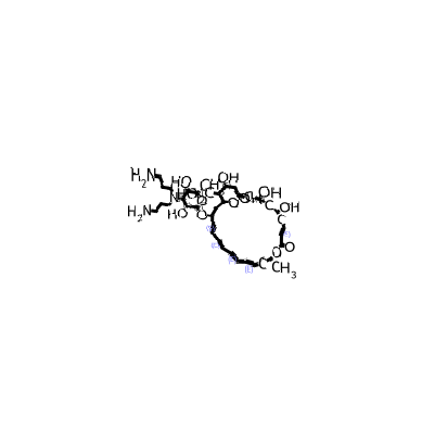 CC1C/C=C/C=C/C=C/C=C/C(O[C@@H]2O[C@H](C)C(O)[C@H](N(CCCN)CCCN)[C@@H]2O)CC2OC(O)(C[C@@H](O)CC(O)C/C=C/C(=O)O1)C[C@H](O)C2C(=O)O